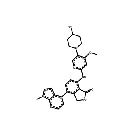 COc1cc(Nc2ccc(-c3ccnc4c3ccn4C)c3c2C(=O)NC3)ncc1N1CCC(O)CC1